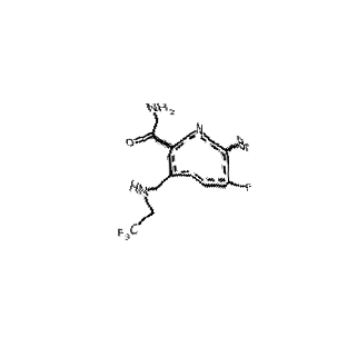 NC(=O)c1nc(Br)c(F)cc1NCC(F)(F)F